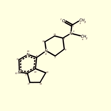 CC(=O)N(C)C1CCN(c2ncnc3c2CCC3)CC1